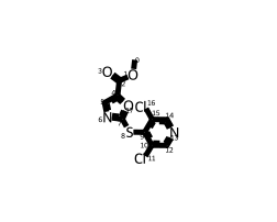 COC(=O)c1cnc(Sc2c(Cl)cncc2Cl)o1